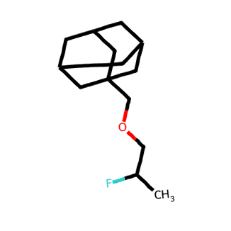 CC(F)COCC12CC3CC(CC(C3)C1)C2